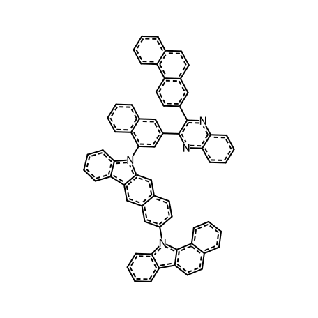 c1ccc2c(-n3c4ccccc4c4cc5cc(-n6c7ccccc7c7ccc8ccccc8c76)ccc5cc43)cc(-c3nc4ccccc4nc3-c3ccc4c(ccc5ccccc54)c3)cc2c1